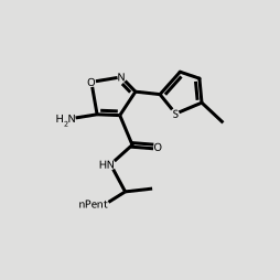 CCCCCC(C)NC(=O)c1c(-c2ccc(C)s2)noc1N